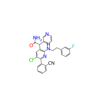 N#Cc1ccccc1-c1nc(NCCc2cccc(F)c2)c(C(C(N)=O)c2cccnc2)cc1Cl